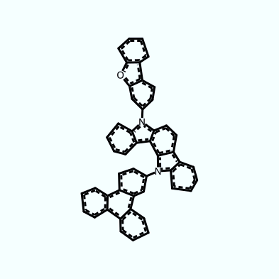 c1ccc2c(c1)oc1cc(-n3c4ccccc4c4c3ccc3c5ccccc5n(-c5ccc6c7ccccc7c7ccccc7c6c5)c34)ccc12